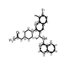 Cc1c(F)ccc2cc([C@H](C)Nc3ncnc4cccnc34)c(N3CCN(CC(N)=O)CC3)nc12